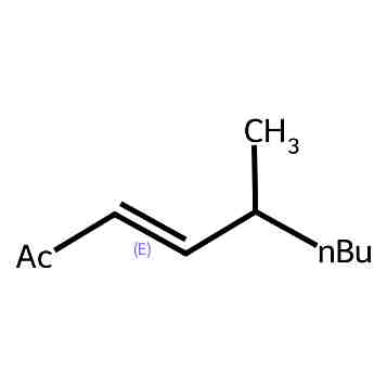 CCCCC(C)/C=C/C(C)=O